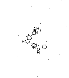 Cn1cc(-c2cnc3[nH]cc(-c4cn(CC(O)c5ccccc5)nn4)c3c2)cn1